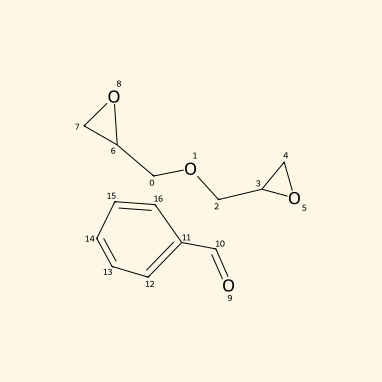 C(OCC1CO1)C1CO1.O=Cc1ccccc1